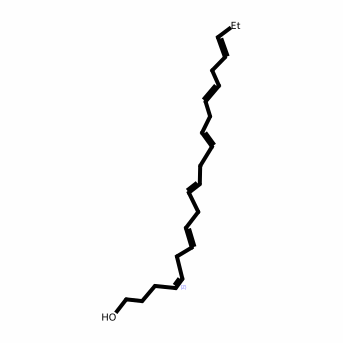 CCC=CCC=CCC=CCC=CCC=CC/C=C\CCCO